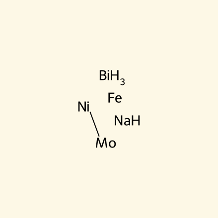 [BiH3].[Fe].[NaH].[Ni][Mo]